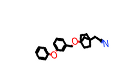 N#CCC12CCC(OCc3cccc(Oc4ccccc4)c3)(CC1)C2